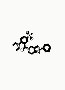 CCN(CC)c1ccc(S(C)(=O)=O)cc1C(=O)N1CCc2nn(-c3ccccc3)cc2C1